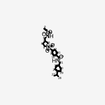 C=CS(=O)(=O)NCC1CCN(S(=O)(=O)c2ccc(C(=O)NCc3ccc(C(C)C)cc3)cc2)C1